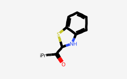 CC(C)C(=O)C1Nc2ccccc2S1